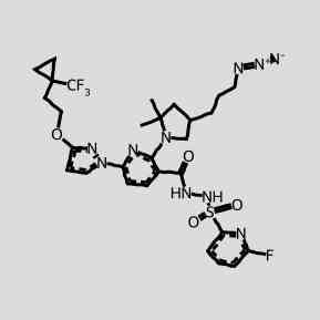 CC1(C)CC(CCCN=[N+]=[N-])CN1c1nc(-n2ccc(OCCC3(C(F)(F)F)CC3)n2)ccc1C(=O)NNS(=O)(=O)c1cccc(F)n1